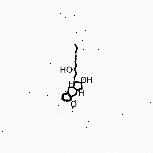 CCCCCC[C@H](O)CC[C@@H]1[C@H]2Cc3cccc(OC)c3C[C@H]2C[C@H]1O